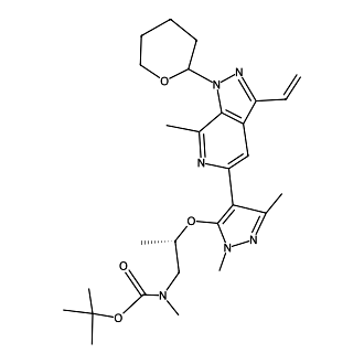 C=Cc1nn(C2CCCCO2)c2c(C)nc(-c3c(C)nn(C)c3O[C@@H](C)CN(C)C(=O)OC(C)(C)C)cc12